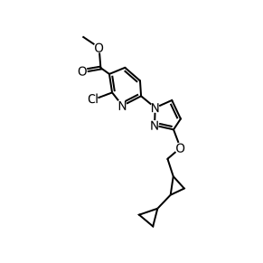 COC(=O)c1ccc(-n2ccc(OCC3CC3C3CC3)n2)nc1Cl